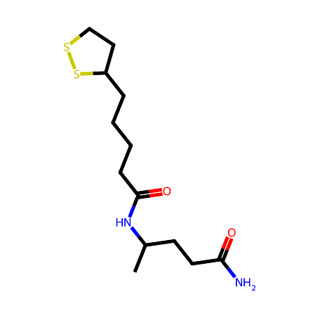 CC(CCC(N)=O)NC(=O)CCCCC1CCSS1